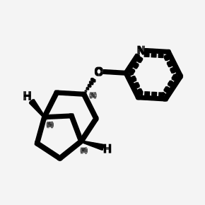 c1ccc(O[C@@H]2C[C@@H]3CC[C@@H](C3)C2)nc1